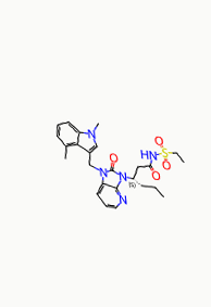 CCC[C@@H](CC(=O)NS(=O)(=O)CC)n1c(=O)n(Cc2cn(C)c3cccc(C)c23)c2cccnc21